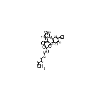 CCCCCCOC(=O)OC(c1ccc(Cl)cc1)C(Cl)n1ccnc1